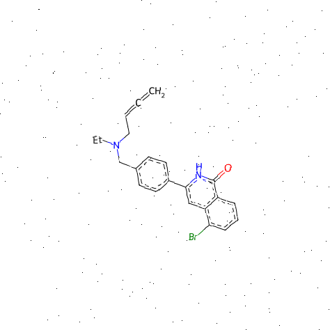 C=C=CCN(CC)Cc1ccc(-c2cc3c(Br)cccc3c(=O)[nH]2)cc1